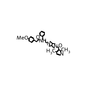 COc1ccc(CC(=O)N[C@@H](CCN2CC3CN(C(=O)c4c(C)ccnc4C)CC3C2)c2ccccc2)cc1